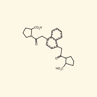 O=C(O)C1CCCN1C(=O)Cc1ccc(CC(=O)N2CCCC2C(=O)O)c2ccccc12